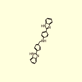 c1ccc2[nH]c(-c3ccc(CNc4ccc(-c5nc6ccccc6[nH]5)cc4)cc3)nc2c1